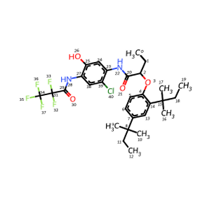 CCC(Oc1ccc(C(C)(C)CC)cc1C(C)(C)CC)C(=O)Nc1cc(O)c(NC(=O)C(F)(F)C(F)(F)F)cc1Cl